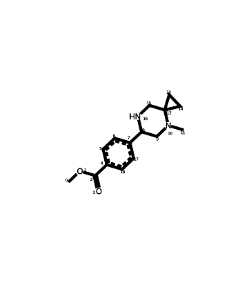 COC(=O)c1ccc(C2CN(C)C3(CC3)CN2)cc1